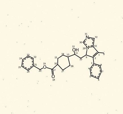 CC1=C(c2ccccc2)C(CC(O)C2CCC(C(=O)OCc3ccccc3)CC2)n2cncc21